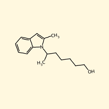 Cc1cc2ccccc2n1C(C)CCCCCO